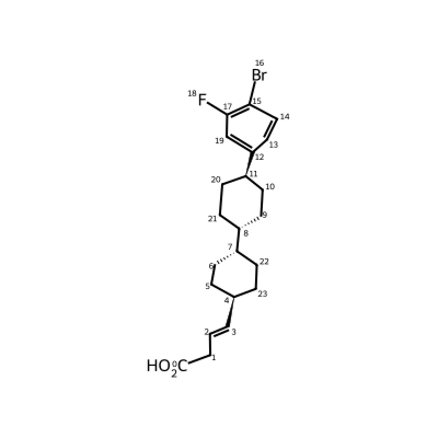 O=C(O)CC=C[C@H]1CC[C@H]([C@H]2CC[C@H](c3ccc(Br)c(F)c3)CC2)CC1